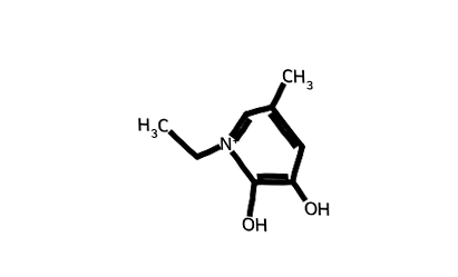 CC[n+]1cc(C)cc(O)c1O